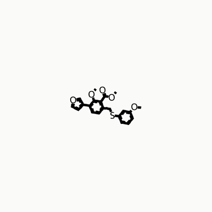 COC(=O)c1c(CSc2cccc(OC)c2)ccc(-c2ccoc2)c1OC